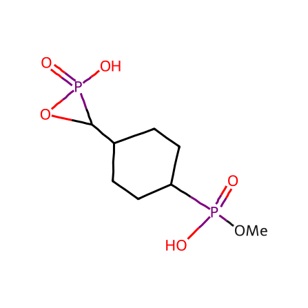 COP(=O)(O)C1CCC(C2OP2(=O)O)CC1